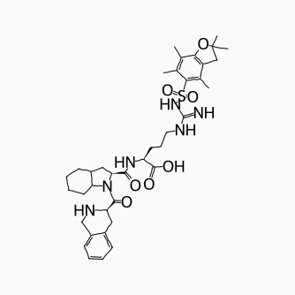 Cc1c(C)c(S(=O)(=O)NC(=N)NCCC[C@H](NC(=O)[C@@H]2CC3CCCCC3N2C(=O)[C@H]2Cc3ccccc3CN2)C(=O)O)c(C)c2c1OC(C)(C)C2